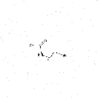 CCC(=O)N[C@@H](C)CC(C)C